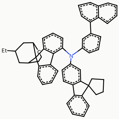 CCC1CC2CCCC(C1)C21c2ccccc2-c2c(N(c3cccc(-c4cccc5ccccc45)c3)c3ccc4c(c3)C3(CCCC3)c3ccccc3-4)cccc21